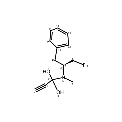 C#CC(O)(O)N(C)[C@H](CF)Cc1ccccc1